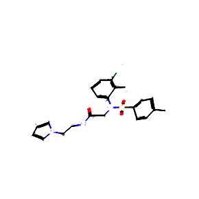 Cc1ccc(S(=O)(=O)N(CC(=O)NCCn2cccc2)c2cccc(Cl)c2C)cc1